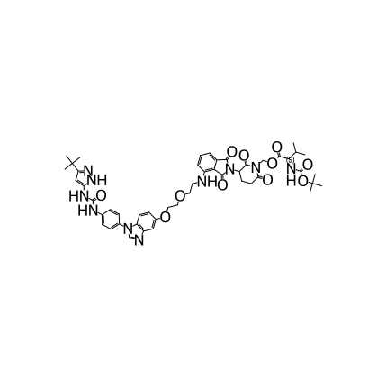 CC(C)[C@H](NC(=O)OC(C)(C)C)C(=O)OCN1C(=O)CCC(N2C(=O)c3cccc(NCCOCCOc4ccc5c(c4)ncn5-c4ccc(NC(=O)Nc5cc(C(C)(C)C)n[nH]5)cc4)c3C2=O)C1=O